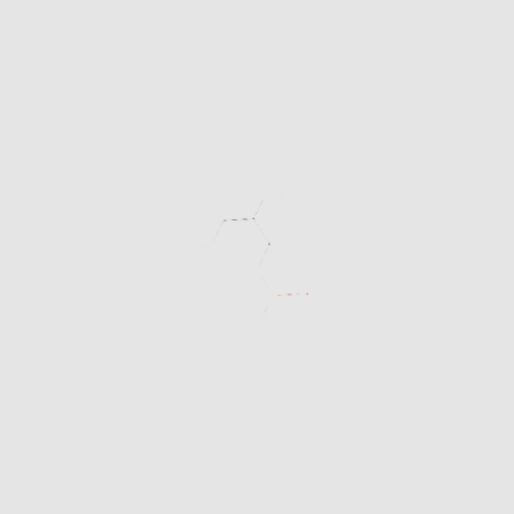 CC(CO)COP(O)O